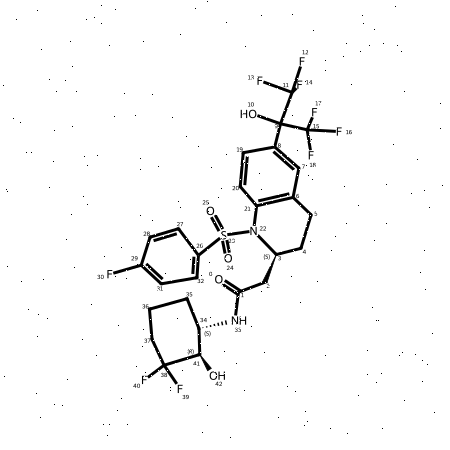 O=C(C[C@@H]1CCc2cc(C(O)(C(F)(F)F)C(F)(F)F)ccc2N1S(=O)(=O)c1ccc(F)cc1)N[C@H]1CCCC(F)(F)[C@@H]1O